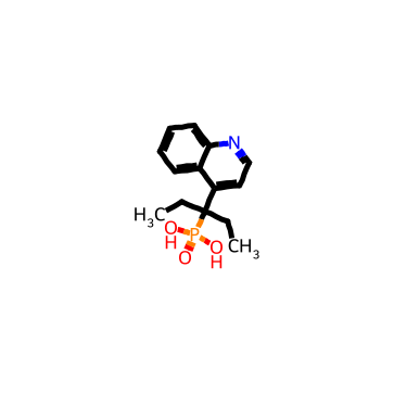 CCC(CC)(c1ccnc2ccccc12)P(=O)(O)O